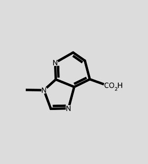 Cn1cnc2c(C(=O)O)ccnc21